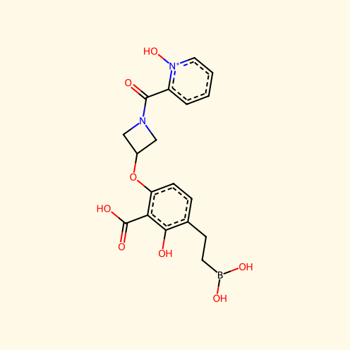 O=C(O)c1c(OC2CN(C(=O)c3cccc[n+]3O)C2)ccc(CCB(O)O)c1O